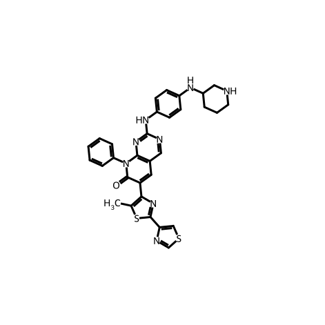 Cc1sc(-c2cscn2)nc1-c1cc2cnc(Nc3ccc(NC4CCCNC4)cc3)nc2n(-c2ccccc2)c1=O